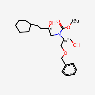 CC(C)(C)OC(=O)N(C[C@H](O)CCC1CCCCC1)[C@H](CO)COCc1ccccc1